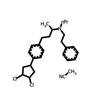 CC#N.CCCN(CCc1ccccc1)C(C)CCc1ccc(C2CC(Cl)C(Cl)C2)cc1